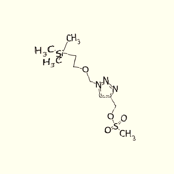 C[Si](C)(C)CCOCn1cc(COS(C)(=O)=O)nn1